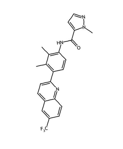 Cc1c(NC(=O)c2ccnn2C)ccc(-c2ccc3cc(C(F)(F)F)ccc3n2)c1C